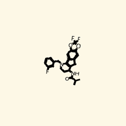 CC(C)C(=O)NC1CCN(Cc2cccc(F)c2)C2=C1Cc1cc3c(cc12)OC(F)(F)O3